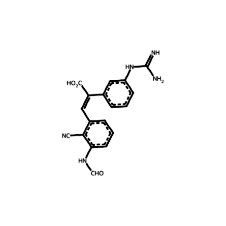 N#Cc1c(C=C(C(=O)O)c2cccc(NC(=N)N)c2)cccc1NC=O